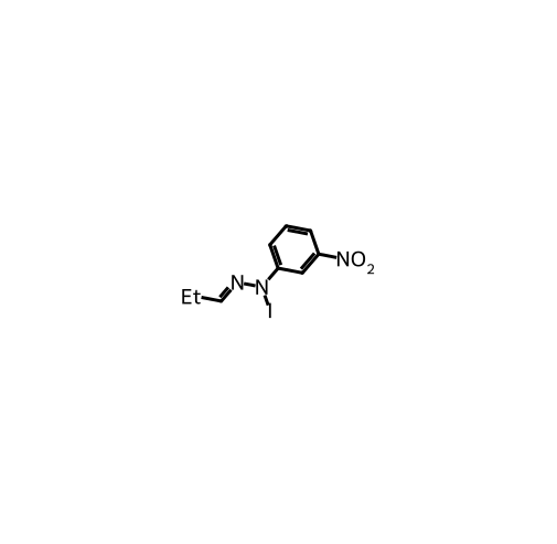 CCC=NN(I)c1cccc([N+](=O)[O-])c1